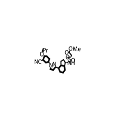 COC(=O)CS(=O)(=O)N[C@@H]1CCc2c(-c3ccn(-c4ccc(OC(C)C)c(C#N)c4)n3)cccc21